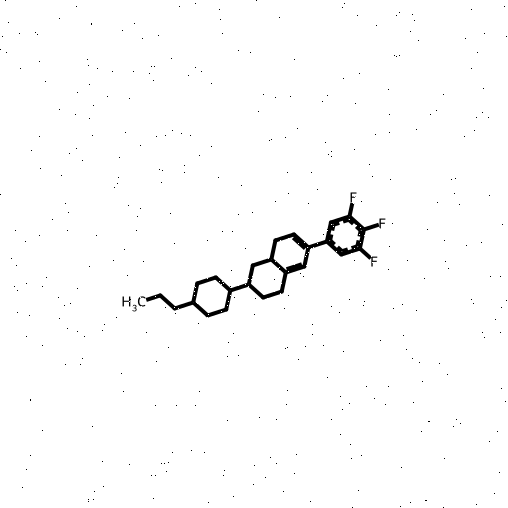 CCCC1CCC(C2CCC3=CC(c4cc(F)c(F)c(F)c4)=CCC3C2)CC1